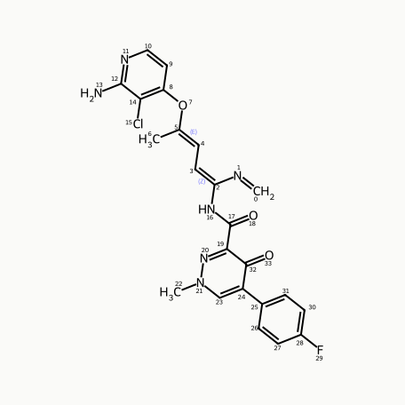 C=N/C(=C\C=C(/C)Oc1ccnc(N)c1Cl)NC(=O)c1nn(C)cc(-c2ccc(F)cc2)c1=O